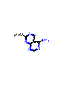 COc1ncc2c(N)ncnc2n1